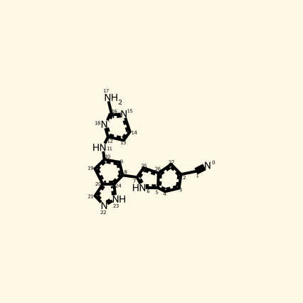 N#Cc1ccc2[nH]c(-c3cc(Nc4ccnc(N)n4)cc4cn[nH]c34)cc2c1